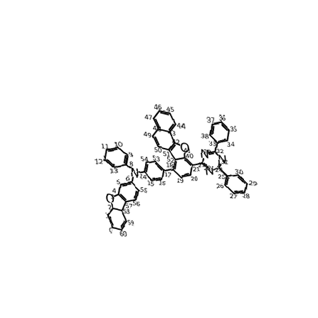 C1=CC2Oc3cc(N(c4ccccc4)c4ccc(-c5ccc(-c6nc(-c7ccccc7)nc(-c7ccccc7)n6)c6oc7c8ccccc8ccc7c56)cc4)ccc3C2C=C1